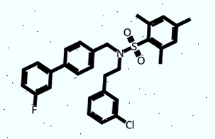 Cc1cc(C)c(S(=O)(=O)N(CCc2cccc(Cl)c2)Cc2ccc(-c3cccc(F)c3)cc2)c(C)c1